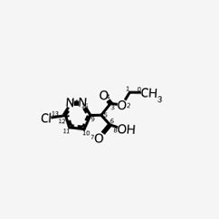 CCOC(=O)C(C(=O)O)c1ccc(Cl)nn1